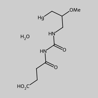 COC([CH2][Hg])CNC(=O)NC(=O)CCC(=O)O.O